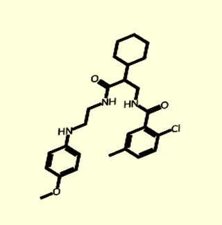 COc1ccc(NCCNC(=O)C(CNC(=O)c2cc(C)ccc2Cl)C2CCCCC2)cc1